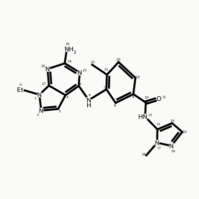 CCn1ncc2c(Nc3cc(C(=O)Nc4ccnn4C)ccc3C)nc(N)nc21